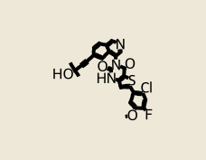 COc1cc(-c2cc3[nH]c(=O)n(-c4cncc5ccc(C#CC(C)(C)O)cc45)c(=O)c3s2)c(Cl)cc1F